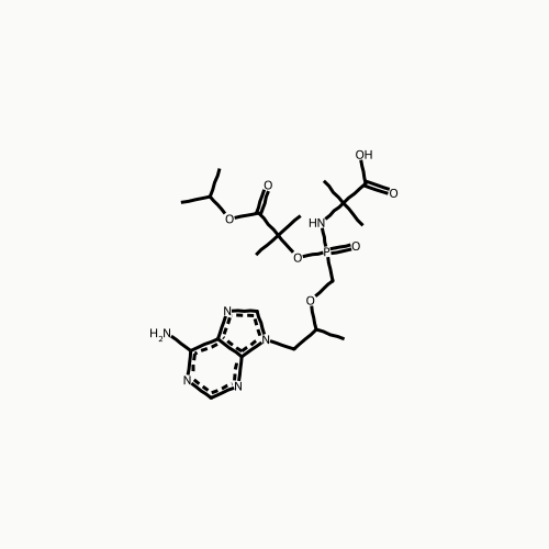 CC(C)OC(=O)C(C)(C)OP(=O)(COC(C)Cn1cnc2c(N)ncnc21)NC(C)(C)C(=O)O